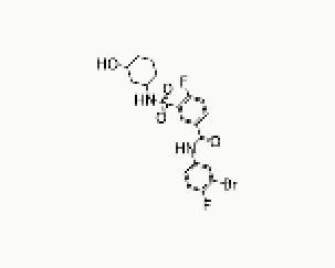 O=C(Nc1ccc(F)c(Br)c1)c1ccc(F)c(S(=O)(=O)NC2CCCC(O)C2)c1